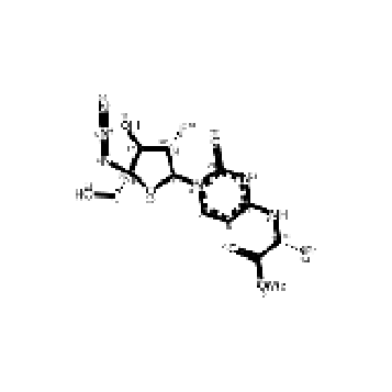 COC(=O)[C@H](Nc1ccn(C2O[C@@](CO)(N=[N+]=[N-])C(O)[C@@H]2F)c(=O)n1)C(C)C